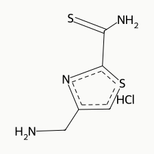 Cl.NCc1csc(C(N)=S)n1